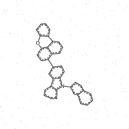 c1ccc2c(c1)Oc1ccc(-c3ccc4c(c3)c3ccccc3n4-c3ccc4ccccc4c3)c3cccc-2c13